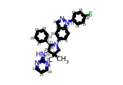 CC1(C)CN(c2ccc3c(cnn3-c3ccc(F)cc3)c2)[C@H](c2ccccc2)[C@H]1Nc1ncccn1